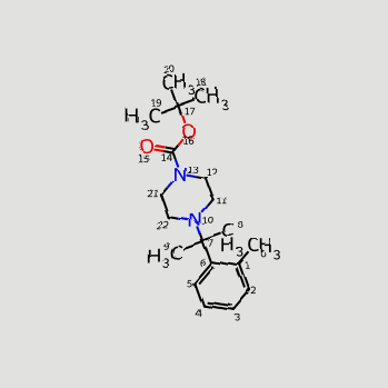 Cc1ccccc1C(C)(C)N1CCN(C(=O)OC(C)(C)C)CC1